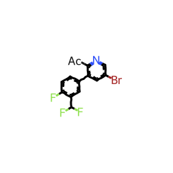 CC(=O)c1ncc(Br)cc1-c1ccc(F)c(C(F)F)c1